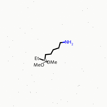 CC[Si](CCCCCN)(OC)OC